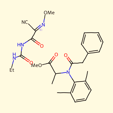 CCNC(=O)NC(=O)/C(C#N)=N/OC.COC(=O)C(C)N(C(=O)Cc1ccccc1)c1c(C)cccc1C